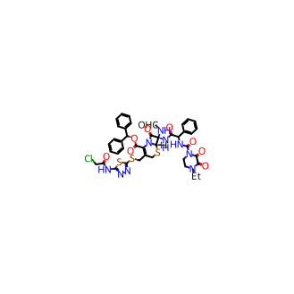 CCN1CCN(C(=O)NC(C(=O)N[C@]2(NC=O)C(=O)N3C(C(=O)OC(c4ccccc4)c4ccccc4)=C(CSc4nnc(NC(=O)CCl)s4)CS[C@H]32)c2ccccc2)C(=O)C1=O